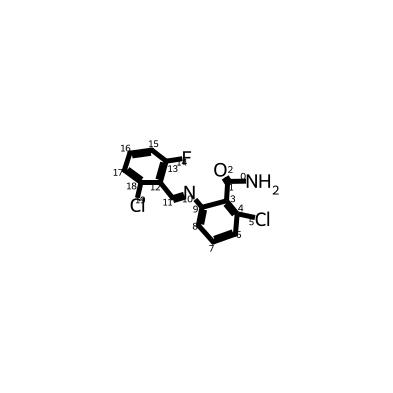 NC(=O)c1c(Cl)cccc1/N=C/c1c(F)cccc1Cl